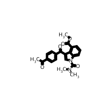 COC(=O)c1cccc2c1c(C(=O)c1ccc(C(C)=O)cc1)cn2C(=O)N(C)C